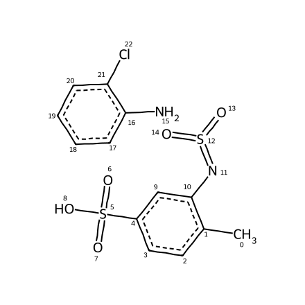 Cc1ccc(S(=O)(=O)O)cc1N=S(=O)=O.Nc1ccccc1Cl